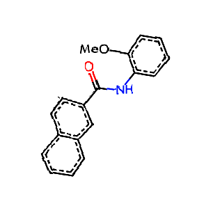 COc1ccccc1NC(=O)c1[c]cc2ccccc2c1